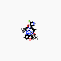 CC[C@]1(C)CC(=O)N([C@@H](c2cncc(F)c2)C2C[C@H]2C(=O)N[C@@H]2c3ccccc3OCC2(C)C)C(=N)N1